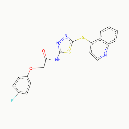 O=C(COc1ccc(F)cc1)Nc1nnc(Sc2ccnc3ccccc23)s1